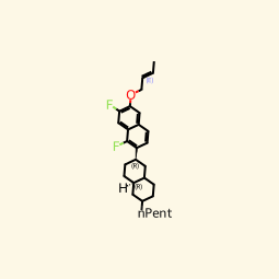 C/C=C/COc1cc2ccc([C@@H]3CC[C@@H]4CC(CCCCC)CCC4C3)c(F)c2cc1F